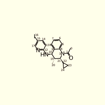 CC(=O)N1c2ccccc2[C@H](Nc2ccc(I)cn2)[C@@H](C)[C@@H]1C1CC1